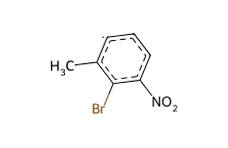 Cc1[c]ccc([N+](=O)[O-])c1Br